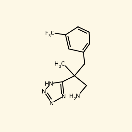 CC(CN)(Cc1cccc(C(F)(F)F)c1)c1nnn[nH]1